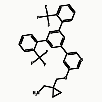 NCC1(COc2cncc(-c3cc(-c4ccccc4C(F)(F)F)cc(-c4ccccc4C(F)(F)F)c3)c2)CC1